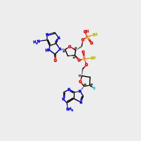 Nc1ncnc2c1ncn2[C@@H]1O[C@H](COP(=O)(S)O[C@H]2C[C@H](n3c(=O)[nH]c4c(N)ncnc43)O[C@@H]2COP(=O)(O)S)C[C@H]1F